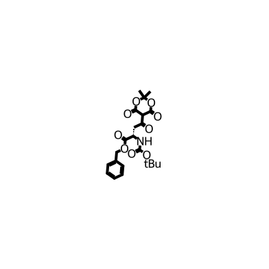 CC(C)(C)OC(=O)N[C@@H](CC(=O)C1C(=O)OC(C)(C)OC1=O)C(=O)OCc1ccccc1